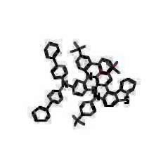 CC(C)(C)c1ccc(N2B3c4ccc(N(c5ccc(-c6ccccc6)cc5)c5ccc(-c6ccccc6)cc5)cc4N(c4ccc(C(C)(C)C)cc4-c4ccccc4)c4cc(C(C)(C)C)cc(c43)-c3c2ccc2sc4ccccc4c32)cc1